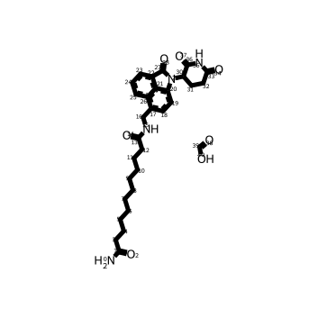 NC(=O)CCCCCCCCCCC(=O)NCc1ccc2c3c(cccc13)C(=O)N2C1CCC(=O)NC1=O.O=CO